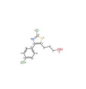 OCCCc1sc(Cl)nc1-c1ccc(Cl)cc1